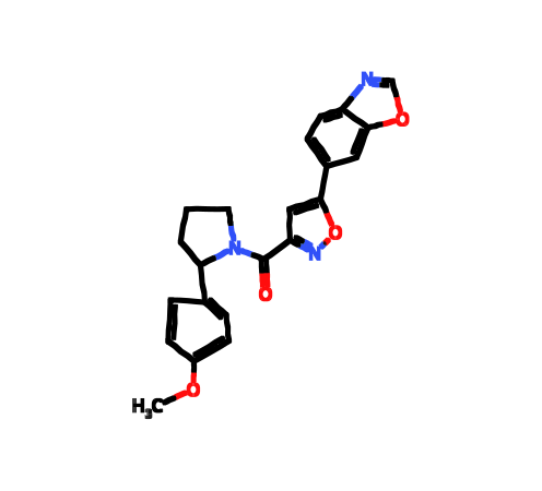 COc1ccc(C2CCCN2C(=O)c2cc(-c3ccc4ncoc4c3)on2)cc1